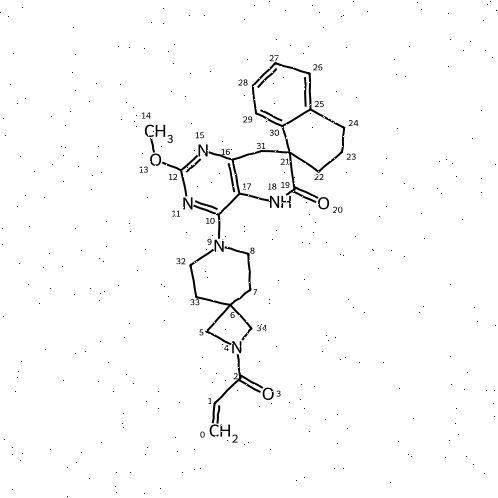 C=CC(=O)N1CC2(CCN(c3nc(OC)nc4c3NC(=O)C3(CCCc5ccccc53)C4)CC2)C1